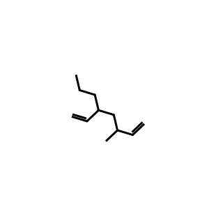 C=CC(C)CC(C=C)CCC